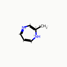 [CH2]C1=CN=CC=CN1